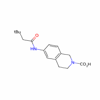 CC(C)(C)CC(=O)Nc1ccc2c(c1)CCN(C(=O)O)C2